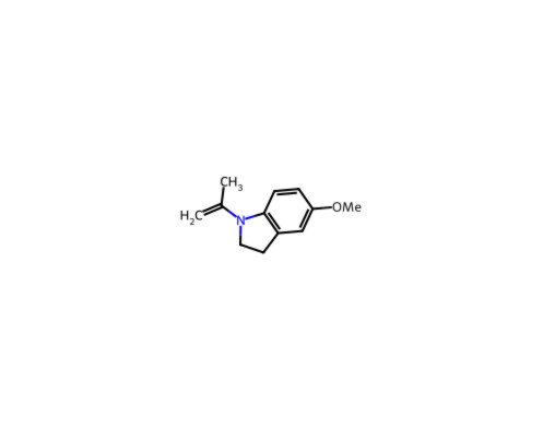 C=C(C)N1CCc2cc(OC)ccc21